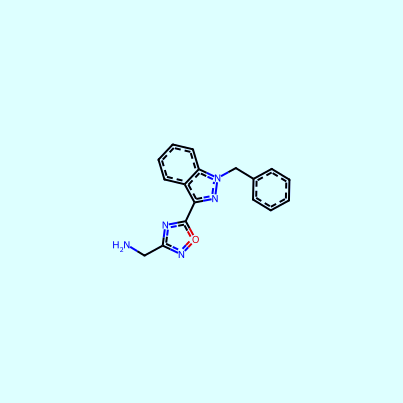 NCc1noc(-c2nn(Cc3ccccc3)c3ccccc23)n1